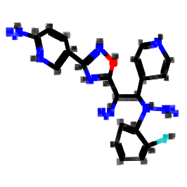 N/C(=C(/c1ccncc1)N(N)c1ccccc1F)c1nc(-c2ccc(N)nc2)no1